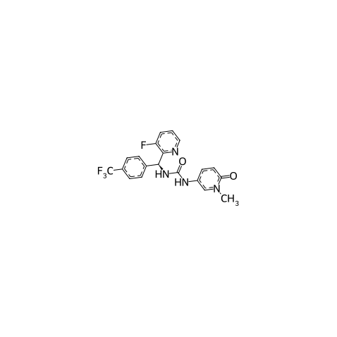 Cn1cc(NC(=O)N[C@@H](c2ccc(C(F)(F)F)cc2)c2ncccc2F)ccc1=O